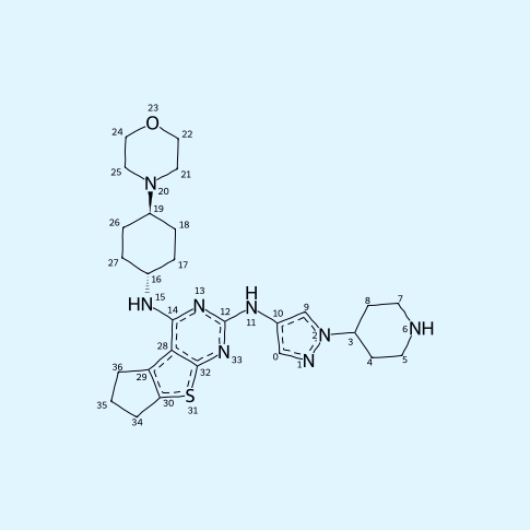 c1nn(C2CCNCC2)cc1Nc1nc(N[C@H]2CC[C@H](N3CCOCC3)CC2)c2c3c(sc2n1)CCC3